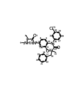 CNC(C)C(=O)Nc1ccc2c(n1)OC(C)(Cc1ccccc1)C(=O)N2c1cccc(Cl)c1